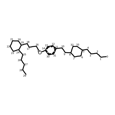 CCCCCC1CCC(CCc2ccc(OCCCC3CCCCC3CCCCC)cc2)CC1